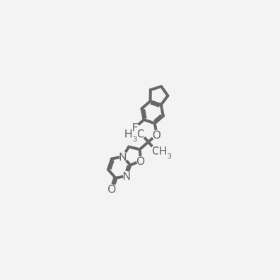 CC(C)(Oc1cc2c(cc1F)CCC2)C1Cn2ccc(=O)nc2O1